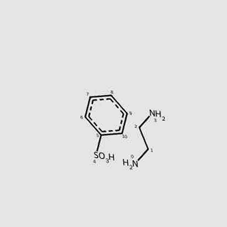 NCCN.O=S(=O)(O)c1ccccc1